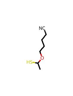 CC(S)OCCCCC#N